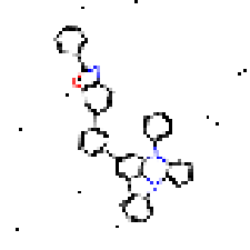 c1ccc(-c2nc3ccc(-c4cccc(-c5cc6c7c(c5)c5ccccc5n7-c5ccccc5N6c5ccccc5)c4)cc3o2)cc1